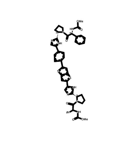 COC(=O)NC(C(=O)N1CCC[C@H]1c1ncc(-c2cc3sc(-c4ccc(-c5cnc([C@@H]6CCCN6C(=O)[C@H](NC(=O)OC)c6ccccc6)[nH]5)cc4)cc3s2)[nH]1)C(C)C